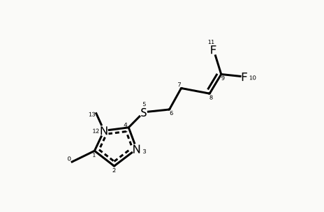 Cc1cnc(SCCC=C(F)F)n1C